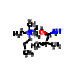 C=C(C)C([NH-])=O.CCC[N+](C)(C)C